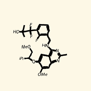 COCC(Oc1cc2c(NCc3cccc(C(F)(F)C(C)(C)O)c3F)nc(C)nc2cc1OC)C(C)C